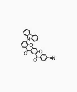 N#Cc1ccc2c(=O)c3cc4c(=O)c5cccc(-n6c7ccccc7c7ccccc76)c5oc4cc3oc2c1